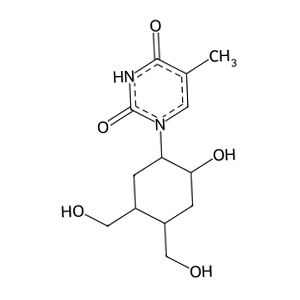 Cc1cn(C2CC(CO)C(CO)CC2O)c(=O)[nH]c1=O